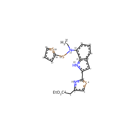 CCOC(=O)Cc1csc(-c2cc3cccc(N(C)Sc4cccs4)c3[nH]2)n1